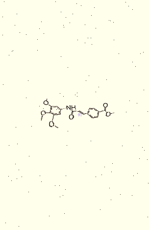 COC(=O)c1ccc(/C=C/C(=O)Nc2cc(OC)c(OC)c(OC)c2)cc1